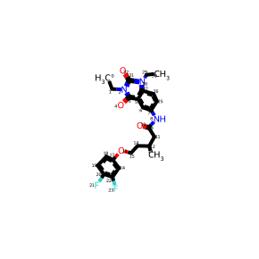 CCn1c(=O)c2cc(NC(=O)CC(C)CCOc3ccc(F)c(F)c3)ccc2n(CC)c1=O